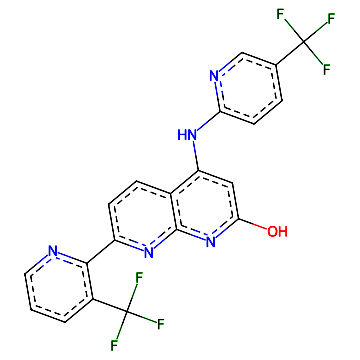 Oc1cc(Nc2ccc(C(F)(F)F)cn2)c2ccc(-c3ncccc3C(F)(F)F)nc2n1